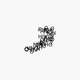 CC(C)C(=O)Nc1nc2c(ncn2[C@@H]2O[C@H](CO)[C@H](F)[C@H]2OP(O)OC[C@@]23CO[C@@H]([C@H](n4cnc5c(NC(=O)c6ccccc6)ncnc54)O2)[C@@H]3CO)c(=O)[nH]1